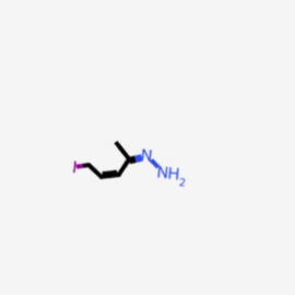 CC(/C=C\CI)=N/N